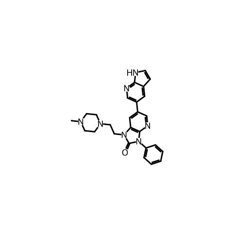 CN1CCN(CCn2c(=O)n(-c3ccccc3)c3ncc(-c4cnc5[nH]ccc5c4)cc32)CC1